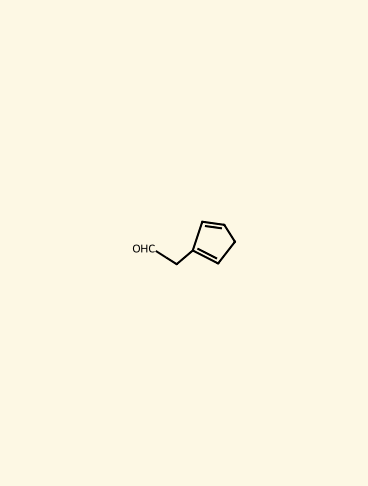 O=CCC1=CCC=C1